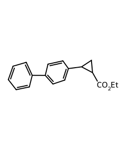 CCOC(=O)C1CC1c1ccc(-c2ccccc2)cc1